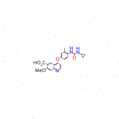 COc1cc2nccc(Oc3ccc(NC(=O)NC4CC4)c(C)c3)c2cc1C(=O)O